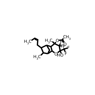 C/C=C\CC1C(C)C2CC1C1C2OC(O)(C(F)(F)F)C(F)(F)C1(C)OC(C)=O